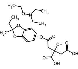 CCC1(C)Oc2ccccc2O1.CCON(CC)CC.O=C(O)CC(O)(CC(=O)O)C(=O)O